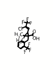 CC1(C)C(C=C(Cl)C(F)(F)F)C1(Cc1ccccc1C(F)(F)F)C(=O)O